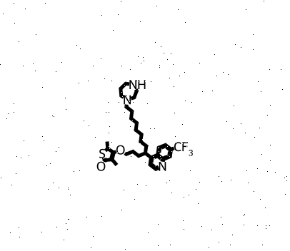 CC1=C(OCCCC(CCCCCCCCN2CCCNCC2)c2ccnc3cc(C(F)(F)F)ccc23)C(C)SC1=O